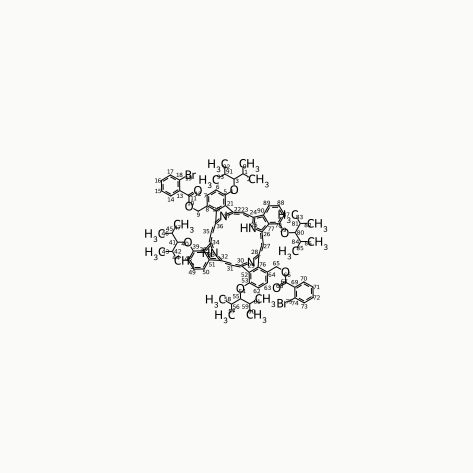 CC(C)C(Oc1ccc(COC(=O)c2ccccc2Br)c2c1-c1cc3[nH]c(cc4nc(cc5[nH]c(cc-2n1)c1c(OC(C(C)C)C(C)C)cccc51)-c1c(OC(C(C)C)C(C)C)ccc(COC(=O)c2ccccc2Br)c1-4)c1c(OC(C(C)C)C(C)C)cccc31)C(C)C